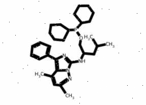 Cc1cc(C)c2c(-c3ccccc3)nc(NC(COP(C3CCCCC3)C3CCCCC3)CC(C)C)n2n1